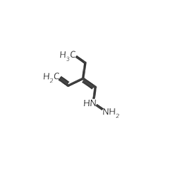 C=C/C(=C\NN)CC